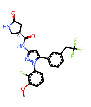 COc1cccc(-n2nc(NC(=O)[C@@H]3CNC(=O)C3)cc2-c2cccc(CC(F)(F)F)c2)c1F